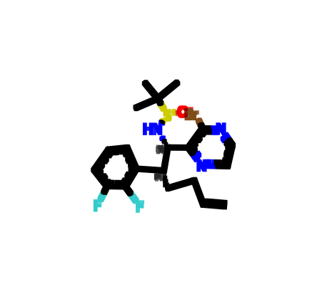 C=CCC[C@H](c1cccc(F)c1F)[C@H](N[S+]([O-])C(C)(C)C)c1nccnc1Br